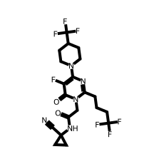 N#CC1(NC(=O)Cn2c(CCCC(F)(F)F)nc(N3CCC(C(F)(F)F)CC3)c(F)c2=O)CC1